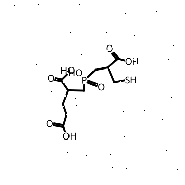 O=C(O)CCC(CP(=O)(O)CC(CS)C(=O)O)C(=O)O